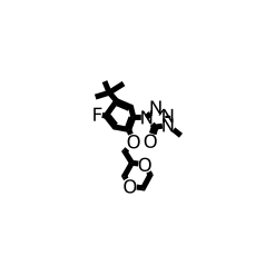 Cn1nnn(-c2cc(C(C)(C)C)c(F)cc2OCC2COCCO2)c1=O